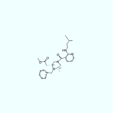 COC(=O)C[C@@H]1CN(C(=O)c2cccnc2NCCC(C)C)C[C@H](C)N1Cc1ccccc1